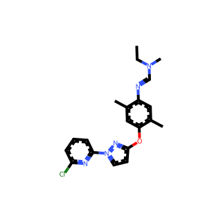 CCN(C)C=Nc1cc(C)c(Oc2ccn(-c3cccc(Cl)n3)n2)cc1C